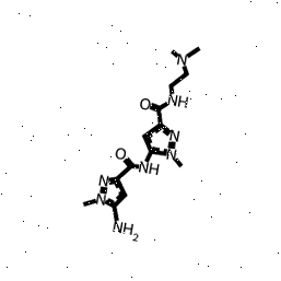 CN(C)CCNC(=O)c1cc(NC(=O)c2cc(N)n(C)n2)n(C)n1